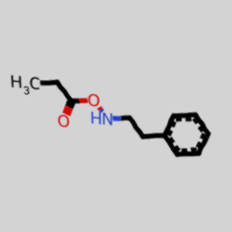 CCC(=O)ONCCc1ccccc1